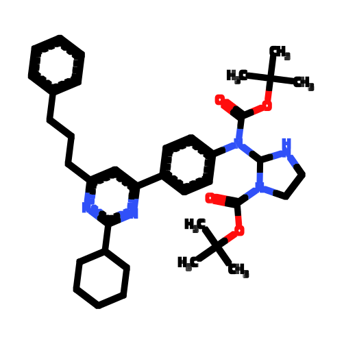 CC(C)(C)OC(=O)N1CCNC1N(C(=O)OC(C)(C)C)c1ccc(-c2cc(CCCc3ccccc3)nc(C3CCCCC3)n2)cc1